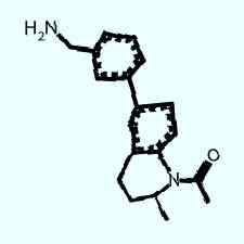 CC(=O)N1c2ccc(-c3cccc(CN)c3)cc2CC[C@@H]1C